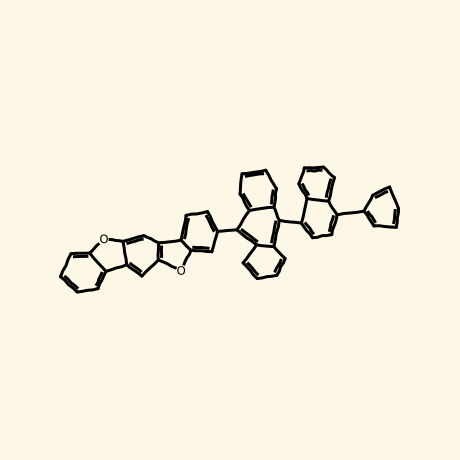 c1ccc(-c2ccc(-c3c4ccccc4c(-c4ccc5c(c4)oc4cc6c(cc45)oc4ccccc46)c4ccccc34)c3ccccc23)cc1